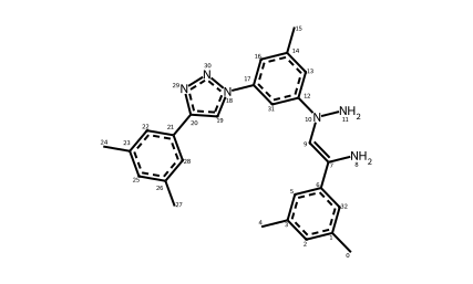 Cc1cc(C)cc(/C(N)=C/N(N)c2cc(C)cc(-n3cc(-c4cc(C)cc(C)c4)nn3)c2)c1